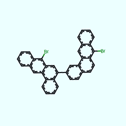 Brc1c2ccccc2cc2c1ccc1ccc(-c3cc4c(Br)c5ccccc5cc4c4ccccc34)cc12